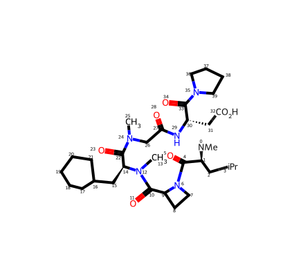 CN[C@@H](CC(C)C)C(=O)N1CCC1C(=O)N(C)[C@@H](CC1CCCCC1)C(=O)N(C)CC(=O)N[C@@H](CC(=O)O)C(=O)N1CCCC1